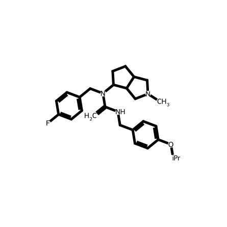 C=C(NCc1ccc(OC(C)C)cc1)N(Cc1ccc(F)cc1)C1CCC2CN(C)CC21